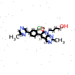 Cc1cncc(-c2ccc(-c3cc4cnc(C)nc4n(CCCCO)c3=O)c(Cl)c2)n1